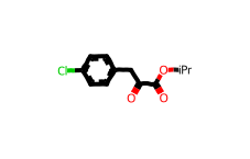 CC(C)OC(=O)C(=O)Cc1ccc(Cl)cc1